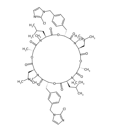 CC(C)C[C@H]1C(=O)O[C@H](Cc2cccc(Cn3ccnc3Cl)c2)C(=O)N(C)[C@@H](CC(C)C)C(=O)O[C@H](C)C(=O)N(C)[C@@H](CC(C)C)C(=O)O[C@H](Cc2ccc(Cn3ccnc3Cl)cc2)C(=O)N(C)[C@@H](CC(C)C)C(=O)O[C@H](C)C(=O)N1C